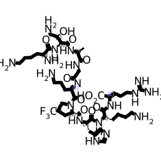 C[C@H](NC(=O)[C@@H](NC(=O)[C@@H](N)CCCCN)[C@@H](O)CN)C(=O)NCC(=O)/N=C(\CCCN)C(=O)N1C[C@@H](C(F)(F)F)C[C@H]1C(=O)N[C@@H](Cc1cnc[nH]1)C(=O)N[C@@H](CCCCN)C(=O)N/C(=C\CCNC(=N)N)C(=O)O